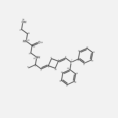 CC(C=C1CC(=CP(c2ccccc2)c2ccccc2)C1)NCC(=O)NCCO